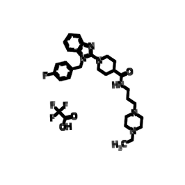 CCN1CCN(CCCNC(=O)C2CCN(c3nc4ccccc4n3Cc3ccc(F)cc3)CC2)CC1.O=C(O)C(F)(F)F